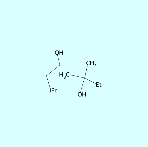 CC(C)CCO.CCC(C)(C)O